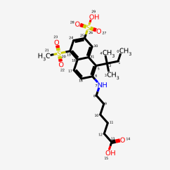 CCC(C)(C)c1c(NCCCCCC(=O)O)ccc2c(S(C)(=O)=O)cc(S(=O)(=O)O)cc12